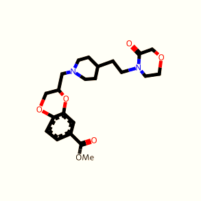 COC(=O)c1ccc2c(c1)OC(CN1CCC(CCN3CCOCC3=O)CC1)CO2